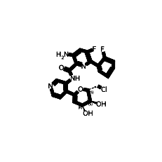 Nc1cc(F)c(-c2ccccc2F)nc1C(=O)Nc1cnccc1C1=C[C@@H](O)[C@H](O)[C@@H](CCl)O1